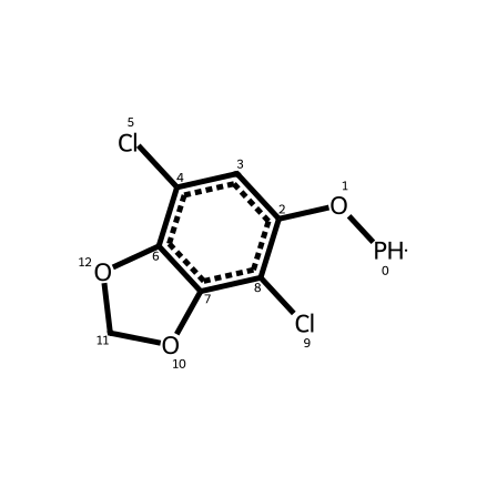 [PH]Oc1cc(Cl)c2c(c1Cl)OCO2